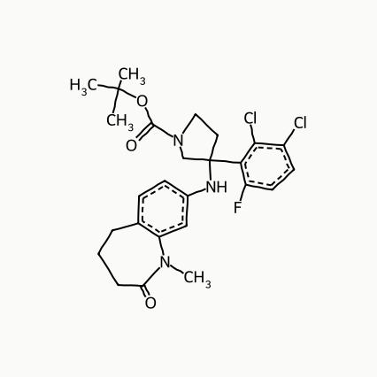 CN1C(=O)CCCc2ccc(NC3(c4c(F)ccc(Cl)c4Cl)CCN(C(=O)OC(C)(C)C)C3)cc21